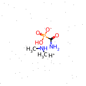 CNC.NC(=O)P(=O)([O-])O.[H+]